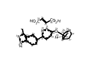 Cc1n[nH]c2ccc(-c3ccc(O[C@H]4CN5CCC4CC5)nn3)cc12.O=C(O)/C=C/C(=O)O